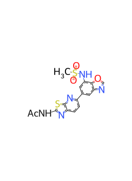 CC(=O)Nc1nc2ccc(-c3cc(NS(C)(=O)=O)c4ocnc4c3)nc2s1